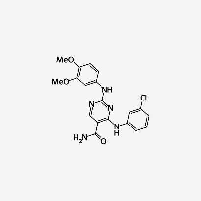 COc1ccc(Nc2ncc(C(N)=O)c(Nc3cccc(Cl)c3)n2)cc1OC